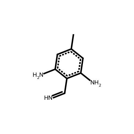 Cc1cc(N)c(C=N)c(N)c1